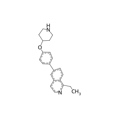 CCc1nccc2cc(-c3ccc(OC4CCNCC4)cc3)ccc12